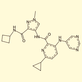 Cn1cc(NC(=O)c2nc(C3CC3)ccc2Nc2cncnc2)c(C(=O)NC2CCC2)n1